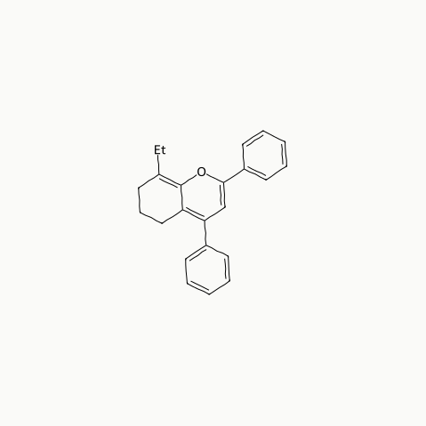 CCC1=C2OC(c3ccccc3)=CC(c3ccccc3)=C2CCC1